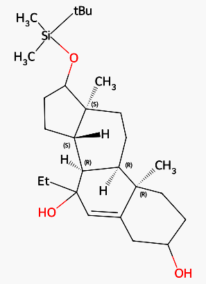 CCC1(O)C=C2CC(O)CC[C@]2(C)[C@@H]2CC[C@]3(C)C(O[Si](C)(C)C(C)(C)C)CC[C@H]3[C@@H]21